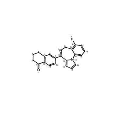 O=C1CCCc2cc(C3=NCc4c(F)cccc4-n4cccc43)ccc21